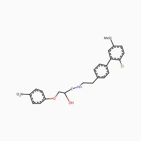 COc1ccc(Cl)c(-c2ccc(CCNCC(O)COc3ccc([N+](=O)[O-])cc3)cc2)c1